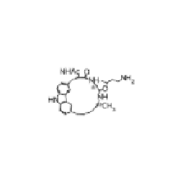 CC(=O)NC1Cc2ccc3[nH]c4ccc(cc4c3c2)CCCC[C@@H](C)NC(=O)[C@@H](CCCCN)NC1=O